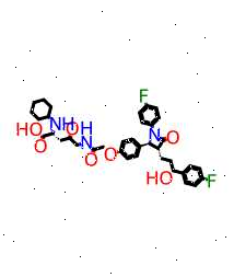 O=C(CNC(=O)COc1ccc([C@@H]2[C@@H](CC[C@H](O)c3ccc(F)cc3)C(=O)N2c2ccc(F)cc2)cc1)C[C@@H](NC1CCCCC1)C(=O)O